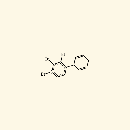 CCc1c(C2C=CCC=C2)cc[si](CC)c1CC